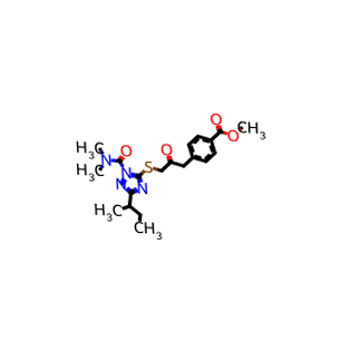 CCC(C)c1nc(SCC(=O)Cc2ccc(C(=O)OC)cc2)n(C(=O)N(C)C)n1